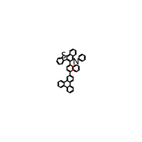 c1ccc(N(c2ccccc2)c2c(-c3ccc(-c4ccc5c6ccccc6c6ccccc6c5c4)cc3)c3c4ccccc4sc3c3ccccc23)cc1